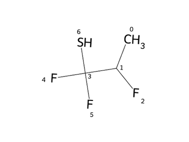 CC(F)C(F)(F)S